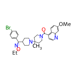 CCO/N=C(/c1ccc(Br)cc1)C1CCN(C2(C)CCN(C(=O)c3ccnc4cc(OC)ccc34)CC2)CC1